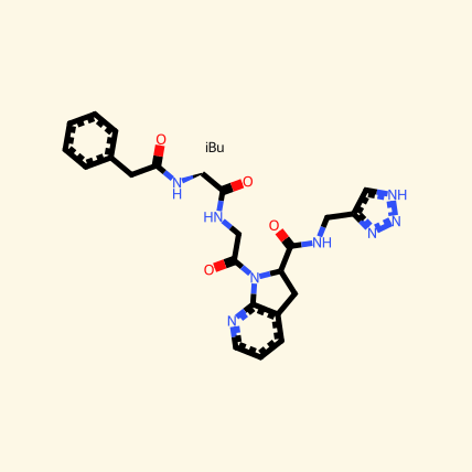 CC[C@H](C)[C@H](NC(=O)Cc1ccccc1)C(=O)NCC(=O)N1c2ncccc2CC1C(=O)NCc1c[nH]nn1